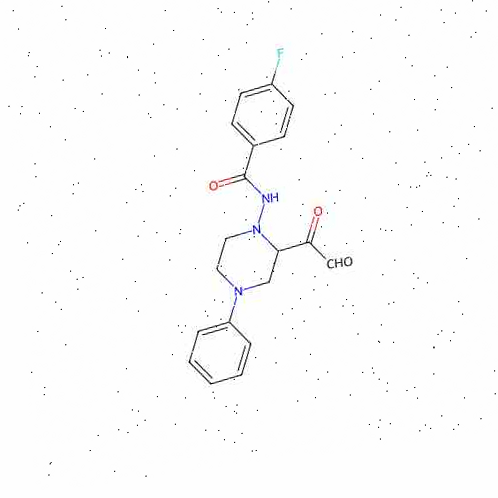 O=CC(=O)C1CN(c2ccccc2)CCN1NC(=O)c1ccc(F)cc1